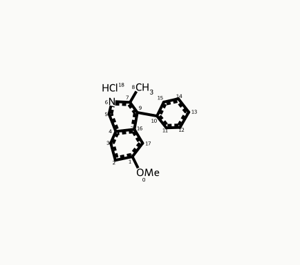 COc1ccc2cnc(C)c(-c3ccccc3)c2c1.Cl